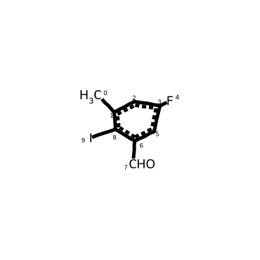 Cc1cc(F)cc(C=O)c1I